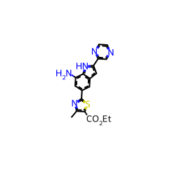 CCOC(=O)c1sc(-c2cc(N)c3[nH]c(-c4cnccn4)cc3c2)nc1C